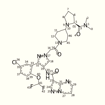 CN(C)C(=O)[C@@H]1CCCN1C1CCN(C(=O)Cn2cc(NC(=O)c3cnn4cccnc34)c(-c3cc(Cl)ccc3OC(F)F)n2)CC1